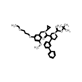 CCOCCCOc1cc(CN(C(=O)C2=C(c3cccc(-c4ccccc4)c3)CCN(C(=O)OC(C)(C)C)C2)C2CC2)cc(OC)c1